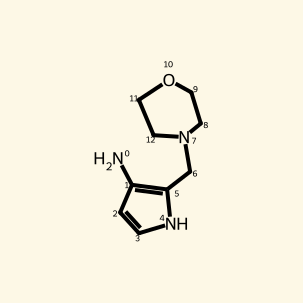 Nc1cc[nH]c1CN1CCOCC1